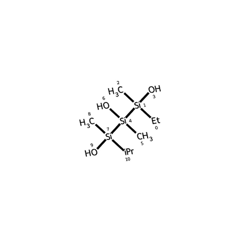 CC[Si](C)(O)[Si](C)(O)[Si](C)(O)C(C)C